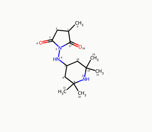 CC1CC(=O)N(NC2CC(C)(C)NC(C)(C)C2)C1=O